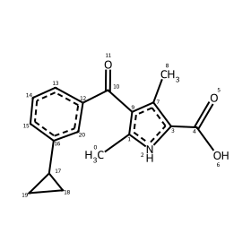 Cc1[nH]c(C(=O)O)c(C)c1C(=O)c1cccc(C2CC2)c1